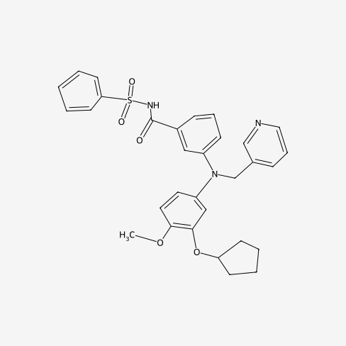 COc1ccc(N(Cc2cccnc2)c2cccc(C(=O)NS(=O)(=O)c3ccccc3)c2)cc1OC1CCCC1